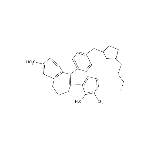 Cc1c(C2=C(c3ccc(CC4CCN(CCCF)C4)cc3)c3ccc(C(=O)O)cc3CCC2)cccc1C(F)(F)F